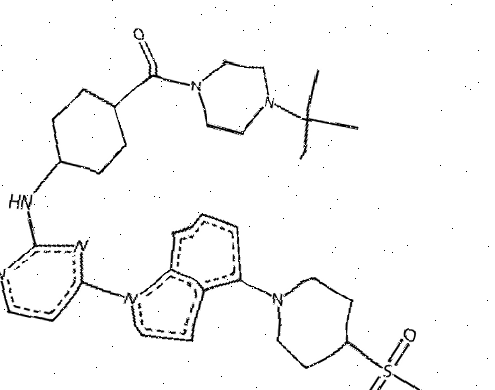 CC(C)(C)N1CCN(C(=O)C2CCC(Nc3nccc(-n4ccc5c(N6CCC(S(C)(=O)=O)CC6)cccc54)n3)CC2)CC1